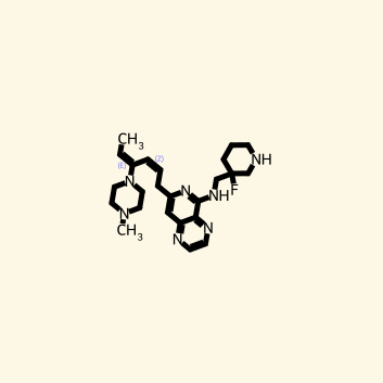 C/C=C(\C=C/Cc1cc2nccnc2c(NCC2(F)CCCNC2)n1)N1CCN(C)CC1